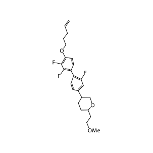 C=CCCCOc1ccc(-c2ccc(C3CCC(CCOC)OC3)cc2F)c(F)c1F